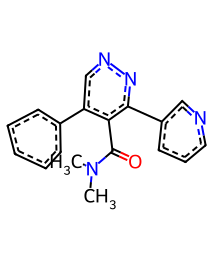 CN(C)C(=O)c1c(-c2ccccc2)cnnc1-c1cccnc1